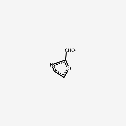 O=[C]c1ncco1